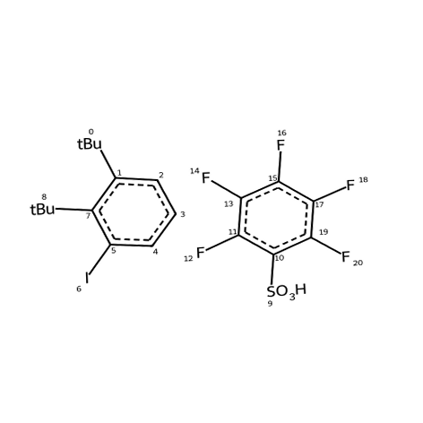 CC(C)(C)c1cccc(I)c1C(C)(C)C.O=S(=O)(O)c1c(F)c(F)c(F)c(F)c1F